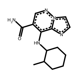 CC1CCCCC1Nc1c(C(N)=O)cnn2ccnc12